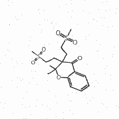 CC1(C)Oc2ccccc2C(=O)C1(CCS(C)(=O)=O)CCS(C)(=O)=O